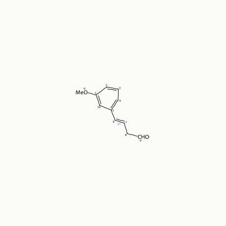 COc1cccc(/C=C/C[C]=O)c1